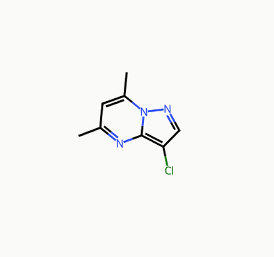 Cc1cc(C)n2ncc(Cl)c2n1